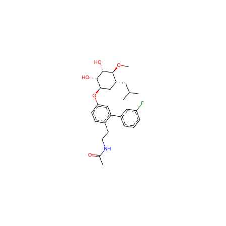 CO[C@H]1[C@H](CC(C)C)C[C@@H](Oc2ccc(CCNC(C)=O)c(-c3cccc(F)c3)c2)[C@H](O)[C@@H]1O